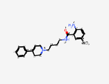 Nc1ccc([N+](=O)[O-])cc1C(=O)NCCCCN1CC=C(c2ccccc2)CC1